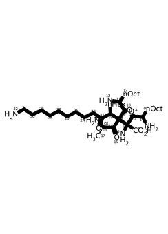 CCCCCCCCC(N)C(=O)C(N)(C(=O)O)C(C(=O)C(N)CCCCCCCC)(C(=O)[C@H](C)N)C(CCCCCC)C(=O)CCCCCCCCCN